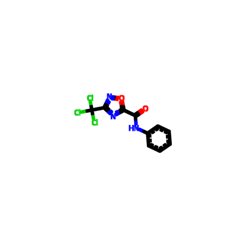 O=C(Nc1ccccc1)c1nc(C(Cl)(Cl)Cl)no1